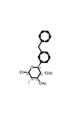 CC[C@H]1O[C@@H](c2cccc(Cc3ccccc3)c2)[C@H](OC(C)=O)[C@@H](OC(C)=O)[C@@H]1C